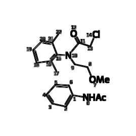 CC(=O)Nc1ccccc1.COCCN(C(=O)CCl)c1c(C)cccc1C